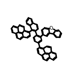 c1ccc2c(-c3ccc4ccc5cccc6ccc3c4c56)c(-c3ccc(-c4ccc5ccc6cccc7ccc4c5c67)cc3-c3ccc4oc5ccccc5c4c3)ccc2c1